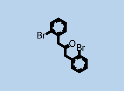 O=C(Cc1ccccc1Br)Cc1ccccc1Br